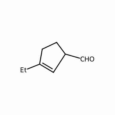 CCC1=CC(C=O)CC1